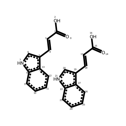 O=C(O)C=Cc1c[nH]c2ccccc12.O=C(O)C=Cc1c[nH]c2ccccc12